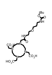 CC(C)(C)OC(=O)NCCCOCCNC(=O)CN1CCN(CC(=O)O)CCN(CC(=O)O)CCN(CC(=O)O)CC1